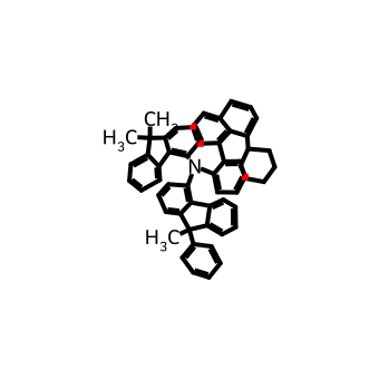 CC1(C)c2ccccc2-c2c(N(c3ccccc3-c3cccc4cccc(C5CCCCC5)c34)c3cccc4c3-c3ccccc3C4(C)c3ccccc3)cccc21